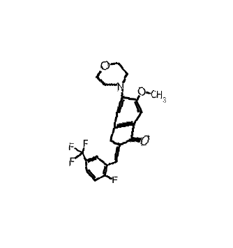 COc1cc2c(cc1N1CCOCC1)CC(=Cc1cc(C(F)(F)F)ccc1F)C2=O